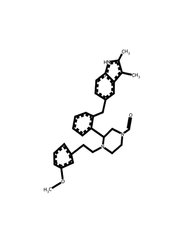 COc1cccc(CCN2CCN(C=O)CC2c2ccccc2Cc2ccc3[nH]c(C)c(C)c3c2)c1